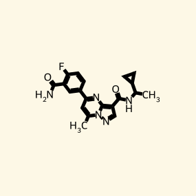 Cc1cc(-c2ccc(F)c(C(N)=O)c2)nc2c(C(=O)NC(C)C3CC3)cnn12